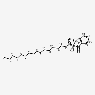 CCCCCCCCCCCCCCCCN(C)S(=O)(=O)Nc1ccccc1